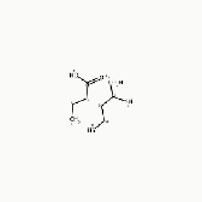 CCCC(=O)O.O=C(O)C(S)CCS